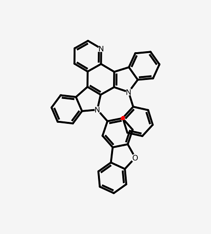 c1ccc(-n2c3ccccc3c3c4ncccc4c4c5ccccc5n(-c5ccc6oc7ccccc7c6c5)c4c32)cc1